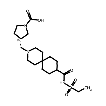 CCS(=O)(=O)NC(=O)C1CCC2(CC1)CCN(C[C@@H]1CCN(C(=O)O)C1)CC2